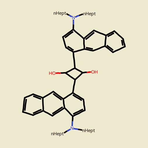 CCCCCCCN(CCCCCCC)c1ccc(C2C(O)C(c3ccc(N(CCCCCCC)CCCCCCC)c4cc5ccccc5cc34)C2O)c2cc3ccccc3cc12